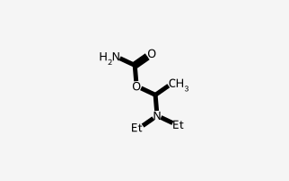 CCN(CC)C(C)OC(N)=O